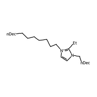 CCCCCCCCCCCCCCCCC[n+]1ccn(CCCCCCCCCCC)c1CC